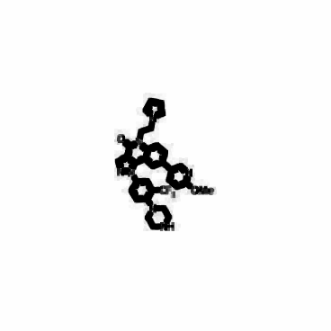 COc1ccc(-c2ccc3c(c2)c2c(cnn2-c2ccc(N4CCNCC4)c(C(F)(F)F)c2)c(=O)n3CCn2cccc2)cn1